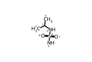 CC(C)NS([NH])(=O)=O